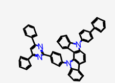 c1ccc(-c2ccc(-n3c4ccccc4c4c3ccc3c5ccccc5n(-c5ccc(-c6nc(-c7ccccc7)cc(-c7ccccc7)n6)cc5)c34)cc2)cc1